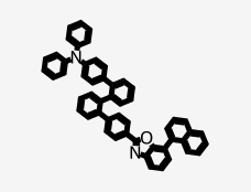 c1ccc(N(c2ccccc2)c2ccc(-c3ccccc3-c3ccccc3-c3ccc(-c4nc5cccc(-c6cccc7ccccc67)c5o4)cc3)cc2)cc1